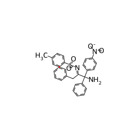 Cc1ccc(S(=O)(=O)N=C(Cc2ccccc2)C(N)(c2ccccc2)c2ccc([N+](=O)[O-])cc2)cc1